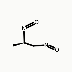 C[C@H](CN=O)N=O